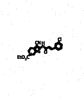 CCOC(=O)N1CCc2c(sc(NC(=O)C=Cc3cccc(Cl)c3)c2C#N)C1